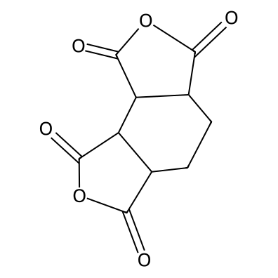 O=C1OC(=O)C2C1CCC1C(=O)OC(=O)C12